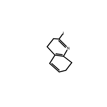 IC1=NC2=C(C=CCC2)CC1